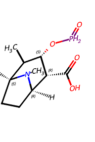 CC1[C@H](O[PH2]=O)[C@H](C(=O)O)[C@H]2CC[C@@H]1N2C